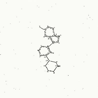 Cc1ccn2ncc(-c3cccc(C4CCCNC4)n3)c2c1